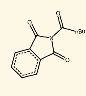 CCCCC(=O)N1C(=O)c2ccccc2C1=O